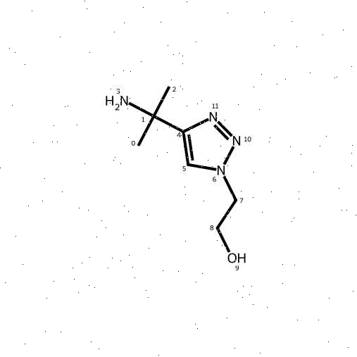 CC(C)(N)c1cn(CCO)nn1